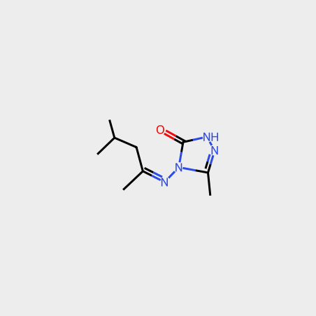 CC(CC(C)C)=Nn1c(C)n[nH]c1=O